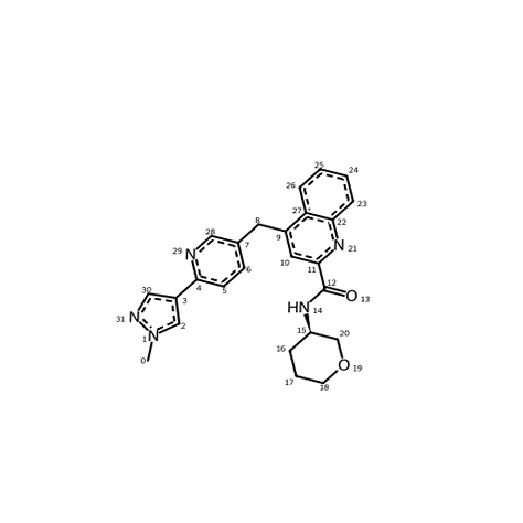 Cn1cc(-c2ccc(Cc3cc(C(=O)N[C@@H]4CCCOC4)nc4ccccc34)cn2)cn1